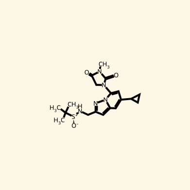 CN1C(=O)CN(c2cc(C3CC3)cc3cc(CN[S@+]([O-])C(C)(C)C)nn23)C1=O